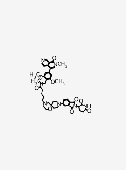 COc1cc(-c2cn(C)c(=O)c3cnccc23)cc(OC)c1CN(C)C(=O)CCCCN1CCOC2(CCN(c3ccc4c(c3)C(=O)N(C3CCC(=O)NC3=O)C4=O)CC2)C1